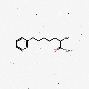 COC(=O)C(CCCCCc1ccccc1)C(C)=O